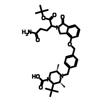 C[C@@H]1C(C(C)(C)C)N(C(=O)O)C[C@H](C)N1Cc1ccc(COc2cccc3c2CN(C(CCC(N)=O)C(=O)OC(C)(C)C)C3=O)cc1